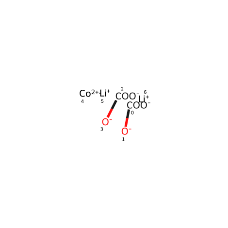 O=C([O-])[O-].O=C([O-])[O-].[Co+2].[Li+].[Li+]